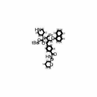 CC(C)C(/C(=C/c1ccc(C(=O)NOC2CCCCO2)cc1)COc1cccc2ccccc12)N(C(=O)OC(C)(C)C)C1CCNCC1